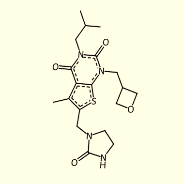 Cc1c(CN2CCNC2=O)sc2c1c(=O)n(CC(C)C)c(=O)n2CC1COC1